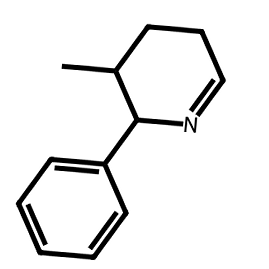 CC1CCC=NC1c1ccccc1